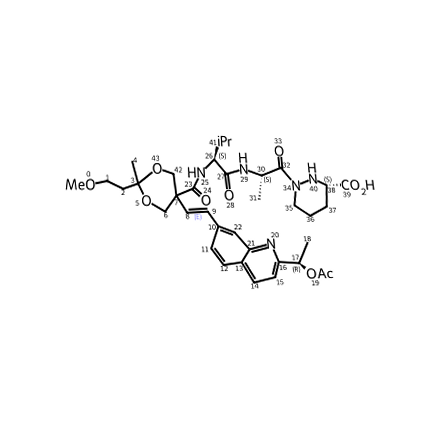 COCCC1(C)OCC(/C=C/c2ccc3ccc([C@@H](C)OC(C)=O)nc3c2)(C(=O)N[C@H](C(=O)N[C@@H](C)C(=O)N2CCC[C@@H](C(=O)O)N2)C(C)C)CO1